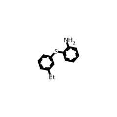 CCc1cccc(Sc2ccccc2N)c1